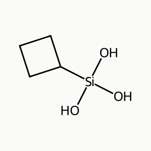 O[Si](O)(O)C1CCC1